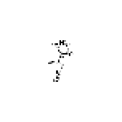 C#CCC(=C)c1scnc1C